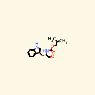 CC(C)COC(=O)N[C@H](C=O)Cc1c[nH]c2ccccc12